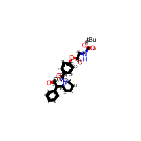 COC(=O)C(c1ccccc1)C1CCCCN1C(=O)c1ccc(OC(=O)CNC(=O)OC(C)(C)C)cc1